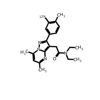 CCN(CC)C(=O)Cc1c(-c2ccc(C)c([125I])c2)nn2c(C)cc(C)nc12